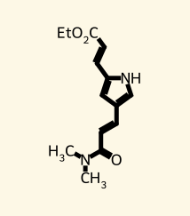 CCOC(=O)C=Cc1cc(/C=C/C(=O)N(C)C)c[nH]1